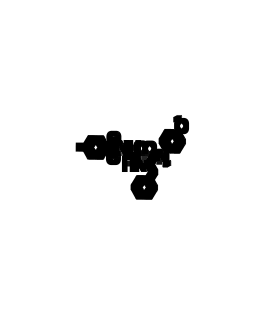 COc1ccc(N(C)C(=O)C(Cc2ccccc2)NC(=O)CNS(=O)(=O)c2ccc(C)cc2)cc1